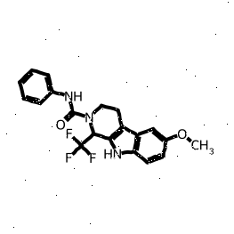 COc1ccc2[nH]c3c(c2c1)CCN(C(=O)Nc1ccccc1)C3C(F)(F)F